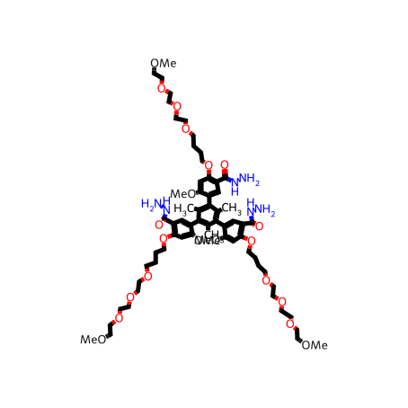 COCCOCCOCCOCCCCOc1cc(OC)c(-c2c(C)c(-c3cc(C(=O)NN)c(OCCCCOCCOCCOCCOC)cc3OC)c(C)c(-c3cc(C(=O)NN)c(OCCCCOCCOCCOCCOC)cc3OC)c2C)cc1C(=O)NN